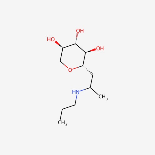 CCCNC(C)C[C@@H]1OC[C@@H](O)[C@H](O)[C@H]1O